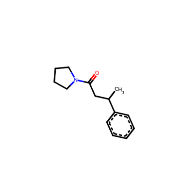 CC(CC(=O)N1CCCC1)c1ccccc1